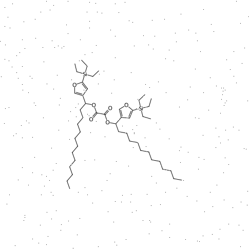 CCCCCCCCCCCCC(OC(=O)C(=O)OC(CCCCCCCCCCCC)c1coc([Si](CC)(CC)CC)c1)c1coc([Si](CC)(CC)CC)c1